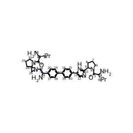 CC(C)[C@H](N)C(=O)N1CCCC1c1ncc(-c2ccc(-c3ccc(/C(N)=C/N4CC45CCCN5C(=O)[C@@H](N)C(C)C)cc3)cc2)[nH]1